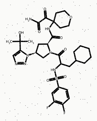 CC(C)(O)c1cnnn1[C@H]1C[C@@H](C(=O)NC2(C(=O)C(N)=O)CCOCC2)N(C(=O)C(CC2CCCCC2)NS(=O)(=O)c2ccc(F)c(F)c2)C1